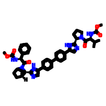 COC(=O)N[C@H](C(=O)N1CCC[C@H]1c1ncc(-c2ccc(-c3ccc(-c4cnc([C@@H]5[C@H]6CCC(C6)N5C(=O)[C@H](NC(=O)OC)c5ccccc5)[nH]4)cc3)cc2)[nH]1)C(C)C